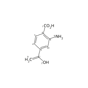 C=C(O)c1ccc(C(=O)O)c(N)c1